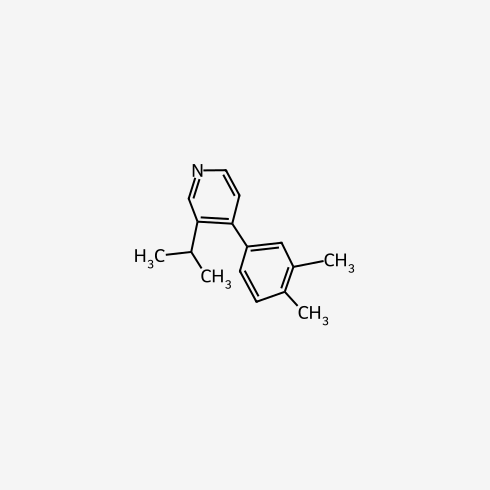 Cc1ccc(-c2ccncc2C(C)C)cc1C